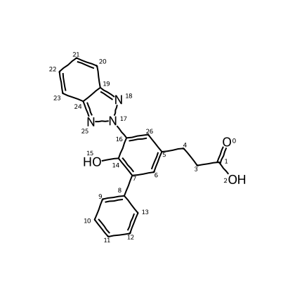 O=C(O)CCc1cc(-c2ccccc2)c(O)c(-n2nc3ccccc3n2)c1